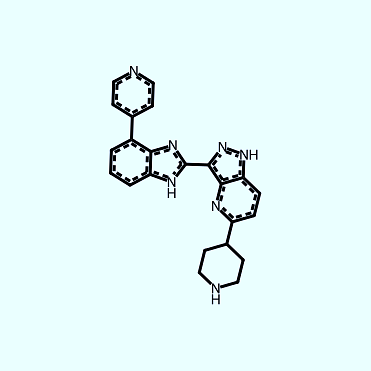 c1cc(-c2ccncc2)c2nc(-c3n[nH]c4ccc(C5CCNCC5)nc34)[nH]c2c1